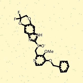 COc1c(OCc2ccccc2)ccnc1C[S+]([O-])c1nc2cc3c(cc2[nH]1)OCC(F)(F)O3